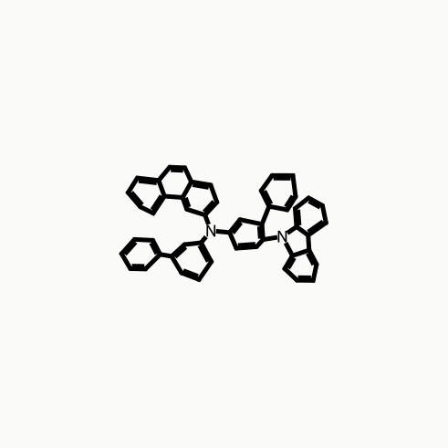 c1ccc(-c2cccc(N(c3ccc(-n4c5ccccc5c5ccccc54)c(-c4ccccc4)c3)c3ccc4ccc5ccccc5c4c3)c2)cc1